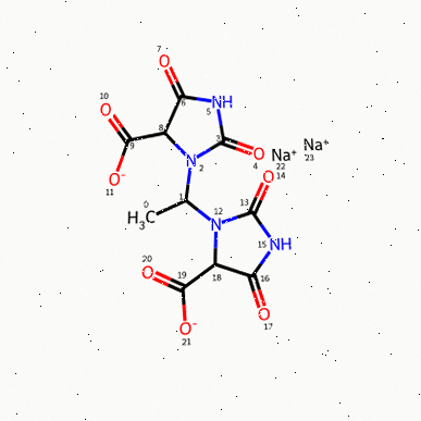 CC(N1C(=O)NC(=O)C1C(=O)[O-])N1C(=O)NC(=O)C1C(=O)[O-].[Na+].[Na+]